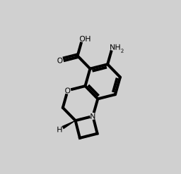 Nc1ccc2c(c1C(=O)O)OC[C@H]1CCN21